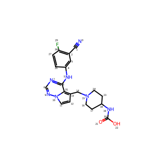 N#Cc1cc(Nc2ncnn3ccc(CN4CCC(NC(=O)O)CC4)c23)ccc1F